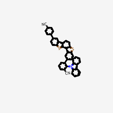 N#Cc1ccc(-c2ccc3sc4c(ccc5sc6ccc(-c7cccc(C#N)c7-n7c8ccc#cc8c8ccccc87)cc6c54)c3c2)cc1